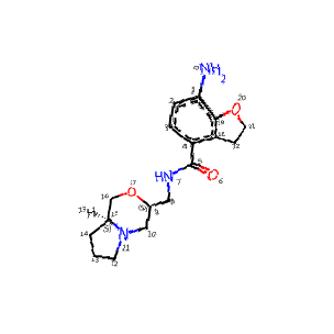 Nc1ccc(C(=O)NC[C@H]2CN3CCC[C@H]3CO2)c2c1OCC2